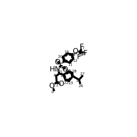 COC(=O)CC(NS(=O)(=O)c1ccc(OC(F)(F)F)cc1)c1ccc(C(C)C)cc1